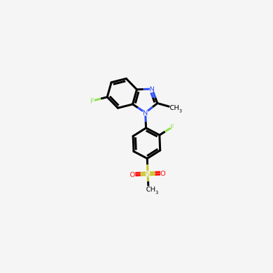 Cc1nc2ccc(F)cc2n1-c1ccc(S(C)(=O)=O)cc1F